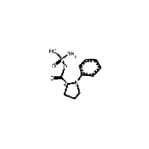 NP(=O)(O)OC(=O)[C@@H]1CCCN1c1ccccc1